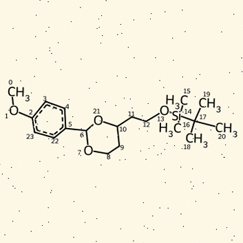 COc1ccc(C2OCCC(CCO[Si](C)(C)C(C)(C)C)O2)cc1